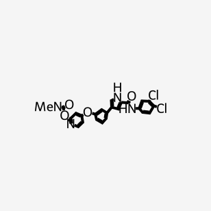 CNC(=O)Oc1cc(Oc2cccc(-c3c[nH]c(C(=O)Nc4ccc(Cl)c(Cl)c4)c3)c2)ccn1